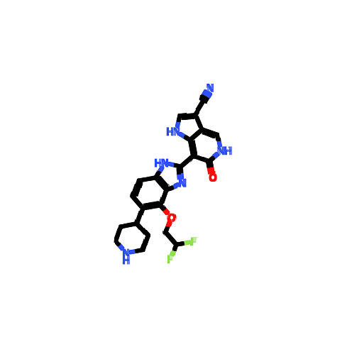 N#Cc1c[nH]c2c(-c3nc4c(OCC(F)F)c(C5CCNCC5)ccc4[nH]3)c(=O)[nH]cc12